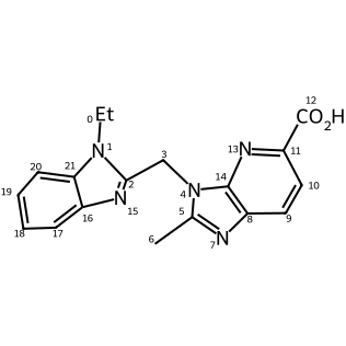 CCn1c(Cn2c(C)nc3ccc(C(=O)O)nc32)nc2ccccc21